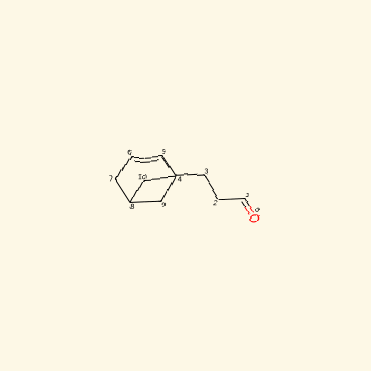 O=CCCC12C=CCC(C1)C2